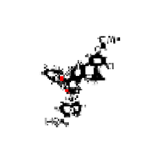 COCOc1cc(Cl)c(C2CC2)c(-c2ncc3c(N4CC5CCC(C4)N5C(=O)OC(C)(C)C)nc(OC[C@]45CCCN4[C@H](CO)CC5)nc3c2F)c1